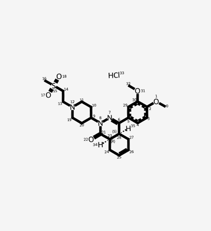 COc1ccc(C2=NN(C3CCN(CCS(C)(=O)=O)CC3)C(=O)[C@@H]3CC=CC[C@H]23)cc1OC.Cl